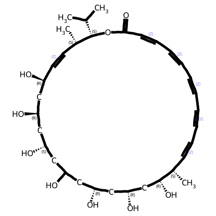 CC(C)[C@@H]1OC(=O)\C=C/C=C\C=C/C=C\C=C/[C@H](C)[C@H](O)C[C@H](O)C[C@H](O)CC(O)C[C@H](O)C[C@@H](O)C[C@@H](O)/C=C\[C@@H]1C